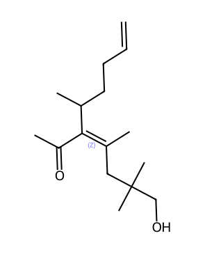 C=CCCC(C)/C(C(C)=O)=C(\C)CC(C)(C)CO